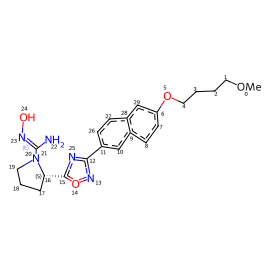 COCCCCOc1ccc2cc(-c3noc([C@@H]4CCCN4/C(N)=N/O)n3)ccc2c1